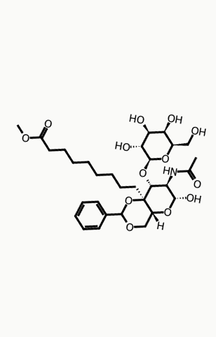 COC(=O)CCCCCCCC[C@@]12OC(c3ccccc3)OC[C@H]1O[C@@H](O)[C@H](NC(C)=O)[C@H]2O[C@@H]1O[C@H](CO)[C@H](O)[C@H](O)[C@H]1O